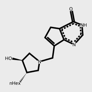 CCCCCC[C@H]1CN(CC2=CCc3c2nc[nH]c3=O)C[C@@H]1O